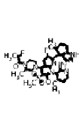 C=C(F)C(=O)N1CCN(c2c(S(C)(=O)=O)c(=O)n(-c3c(C)ccnc3C(C)C)c3nc(-c4c(C)ccc5[nH]ncc45)c(F)cc23)C[C@H]1C